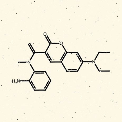 C=C(c1cc2ccc(N(CC)CC)cc2oc1=O)N(C)c1ccccc1N